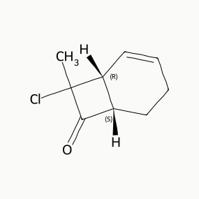 CC1(Cl)C(=O)[C@H]2CCC=C[C@H]21